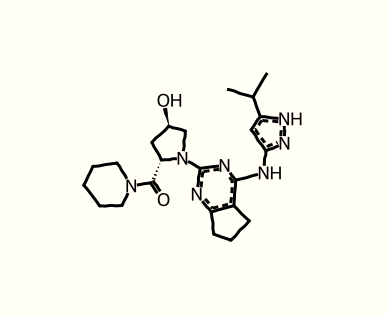 CC(C)c1cc(Nc2nc(N3C[C@H](O)C[C@H]3C(=O)N3CCCCC3)nc3c2CCC3)n[nH]1